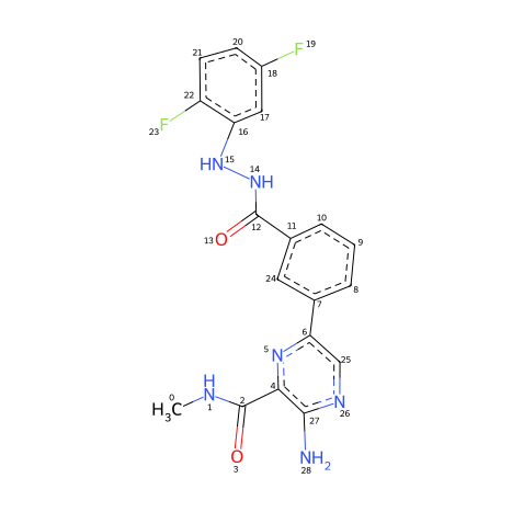 CNC(=O)c1nc(-c2cccc(C(=O)NNc3cc(F)ccc3F)c2)cnc1N